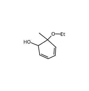 CCOC1(C)C=CC=CC1O